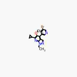 CCn1ncc2c(-c3cncc(Br)c3)c(OC)c(C3CC3)nc21